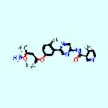 C=C(/C=C(/C)ON)Oc1ccc(CC)c(-c2cnc(NC(=O)c3cnccc3C)cn2)c1